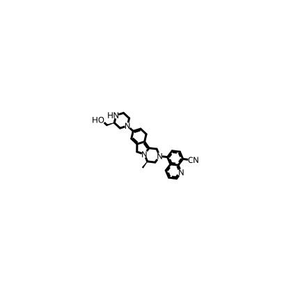 C[C@@H]1CN(c2ccc(C#N)c3ncccc23)CC2=C3CC=C(N4CCN[C@H](CO)C4)C=C3CN21